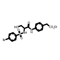 CCOC(=O)Cc1ccc(NC(=O)C(CO)NS(=O)(=O)c2ccc(Br)cc2)cc1